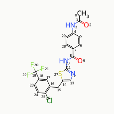 CC(=O)Nc1ccc(C(=O)Nc2ncc(Cc3cc(C(F)(F)F)ccc3Cl)s2)cc1